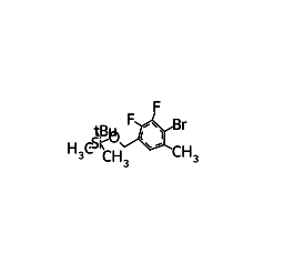 Cc1cc(CO[Si](C)(C)C(C)(C)C)c(F)c(F)c1Br